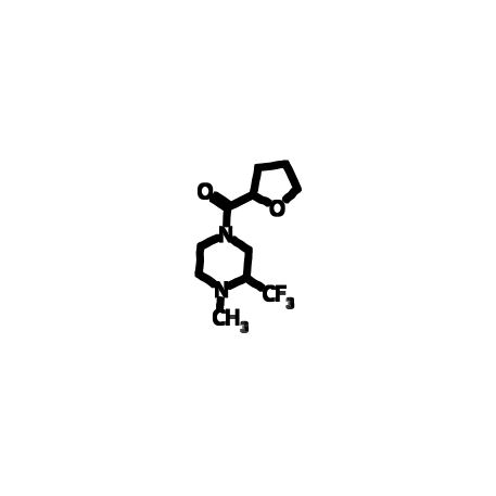 CN1CCN(C(=O)C2CCCO2)CC1C(F)(F)F